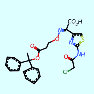 CC(OC(=O)CCON=C(C(=O)O)c1csc(NC(=O)CCl)n1)(c1ccccc1)c1ccccc1